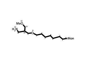 CCCCCCCCCCCCCCCCOCC(CN)COC